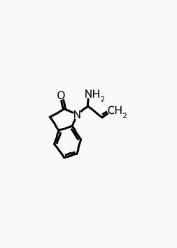 C=CC(N)N1C(=O)Cc2ccccc21